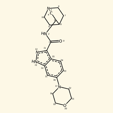 O=C(NC1CN2CCC1CC2)c1n[nH]c2cc(N3CCOCC3)ccc12